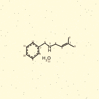 CC(C)=CCNCc1ccccc1.O